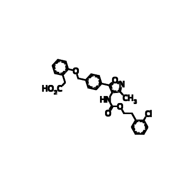 Cc1noc(-c2ccc(COc3ccccc3CC(=O)O)cc2)c1NC(=O)OCCc1ccccc1Cl